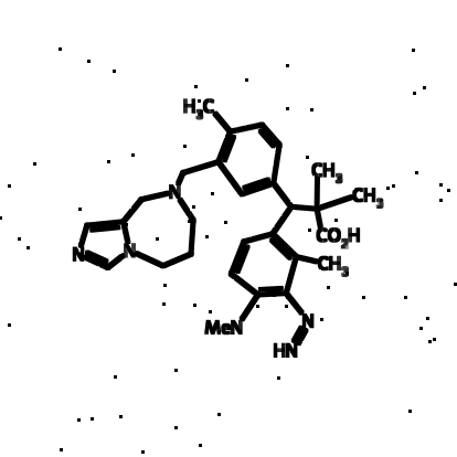 CNc1ccc(C(c2ccc(C)c(CN3CCCn4cncc4C3)c2)C(C)(C)C(=O)O)c(C)c1N=N